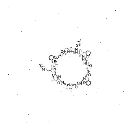 CC(C)C[C@@H]1NC(=O)[C@H](CCCCN=[N+]=[N-])NC(=O)[C@H](Cc2ccccc2)NC(=O)COC(=O)[C@@H]2CCCN2C(=O)[C@H](CCSSC(C)(C)C)NC(=O)[C@H](Cc2ccccc2)NC(=O)[C@H](C)NC(=O)[C@H](C)N(C)C(=O)[C@H](Cc2ccccc2)N(C)C(=O)[C@H](C)NC(=O)[C@H](CC(C)C)N(C)C(=O)[C@H](C)N(C)C1=O